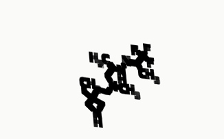 C=C(CN(C)CCC1(CC)CNC1)N/N=C(\C)C(F)(F)F